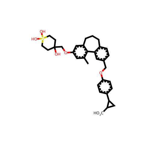 Cc1cc(OCC2(O)CCS(O)(O)CC2)cc2c1-c1cc(COc3ccc(C4CC4C(=O)O)cc3)ccc1CCC2